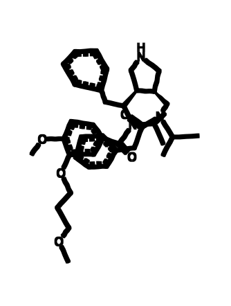 COCCCOc1cc(C(=O)N(C(C)C)C(Cc2ccccc2)[C@H]2CNC[C@H]2CN(C(=O)Cc2ccccc2)C(C)C)ccc1OC